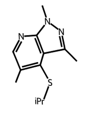 Cc1cnc2c(c(C)nn2C)c1SC(C)C